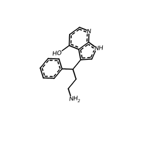 NCCC(c1ccccc1)c1c[nH]c2nccc(O)c12